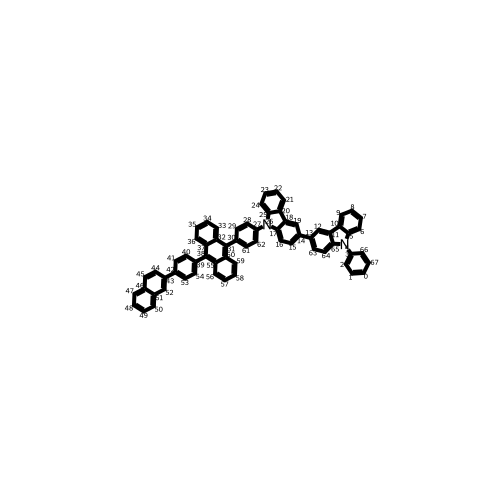 c1ccc(-n2c3ccccc3c3cc(-c4ccc5c(c4)c4ccccc4n5-c4ccc(-c5c6ccccc6c(-c6ccc(-c7ccc8ccccc8c7)cc6)c6ccccc56)cc4)ccc32)cc1